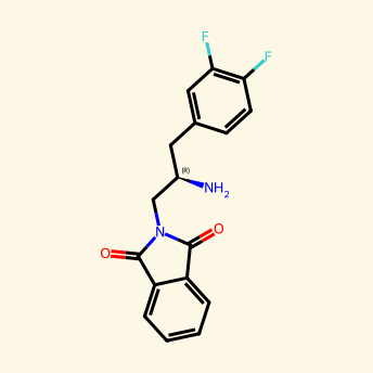 N[C@H](Cc1ccc(F)c(F)c1)CN1C(=O)c2ccccc2C1=O